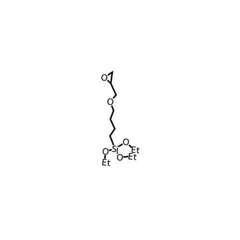 CCO[Si](CCCCOCC1CO1)(OCC)OCC